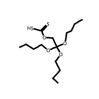 CCCCOC(COC(=S)S)(OCCCC)OCCCC